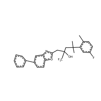 Cc1ccc(F)cc1C(C)(C)CC(O)(Cc1nc2cc(-c3ccccc3)ccc2o1)C(F)(F)F